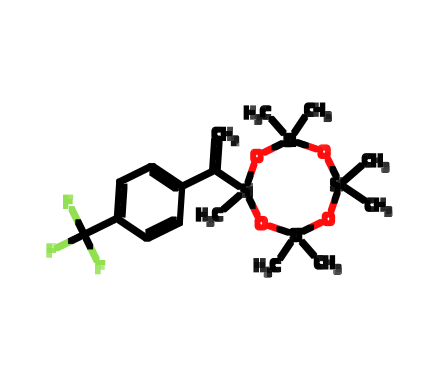 C=C(c1ccc(C(F)(F)F)cc1)[Si]1(C)O[Si](C)(C)O[Si](C)(C)O[Si](C)(C)O1